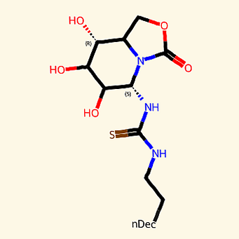 CCCCCCCCCCCCNC(=S)N[C@@H]1C(O)C(O)[C@H](O)C2COC(=O)N21